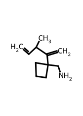 C=CC(C)C(=C)C1(CN)CCC1